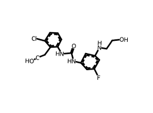 O=C(Nc1cc(F)cc(NCCO)c1)Nc1cccc(Cl)c1CCO